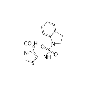 O=C(O)c1ncsc1NS(=O)(=O)N1CCc2ccccc21